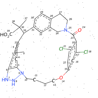 Cc1c2ccc3c1NNN3CCCCOc1cc(Cl)c(c(Cl)c1)C(=O)N1CCc3ccc(cc3C1)C2C(C)(C)C(=O)O